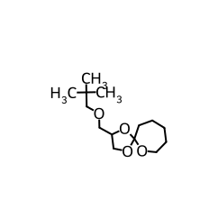 CC(C)(C)COCC1COC2(CCCCCO2)O1